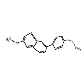 COc1ccc(-c2[c]c3ccc(OC)cc3cc2)cc1